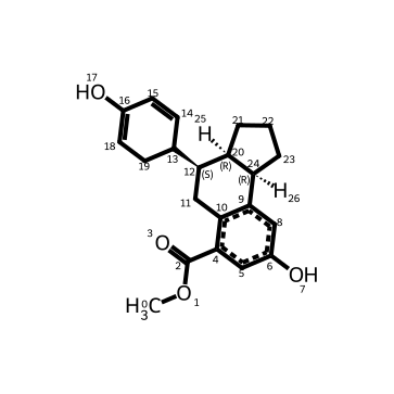 COC(=O)c1cc(O)cc2c1C[C@@H](C1C=CC(O)=CC1)[C@H]1CCC[C@@H]21